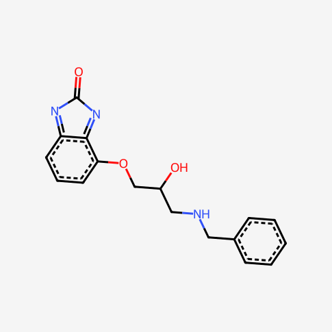 O=C1N=c2cccc(OCC(O)CNCc3ccccc3)c2=N1